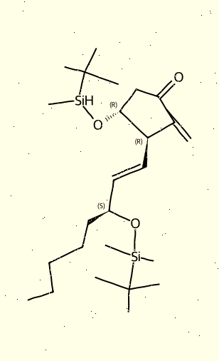 C=C1C(=O)C[C@@H](O[SiH](C)C(C)(C)C)[C@@H]1C=C[C@H](CCCCC)O[Si](C)(C)C(C)(C)C